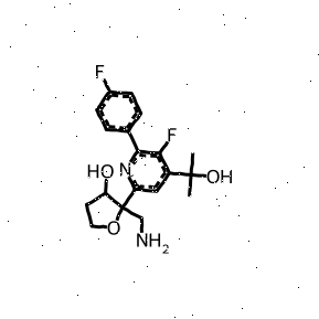 CC(C)(O)c1cc(C2(CN)OCCC2O)nc(-c2ccc(F)cc2)c1F